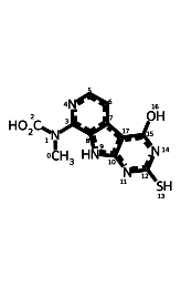 CN(C(=O)O)c1nccc2c1[nH]c1nc(S)nc(O)c12